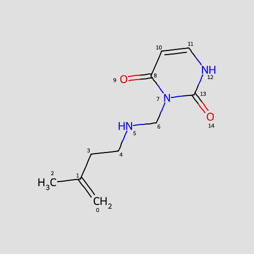 C=C(C)CCNCn1c(=O)cc[nH]c1=O